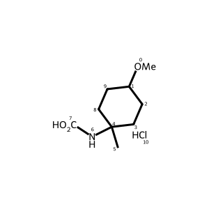 COC1CCC(C)(NC(=O)O)CC1.Cl